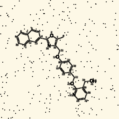 Cc1oc(-c2ccc3ccccc3c2)nc1COc1ccc(COc2ncccc2CO)cc1